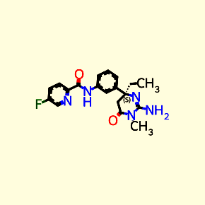 CC[C@@]1(c2cccc(NC(=O)c3ccc(F)cn3)c2)CC(=O)N(C)C(N)=N1